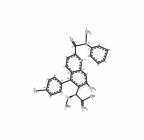 C=C(O)[C@@H](OC(C)(C)C)c1c(C)cc2nc(C(=O)N(C)c3ccccc3)ccc2c1-c1ccc(Cl)cc1